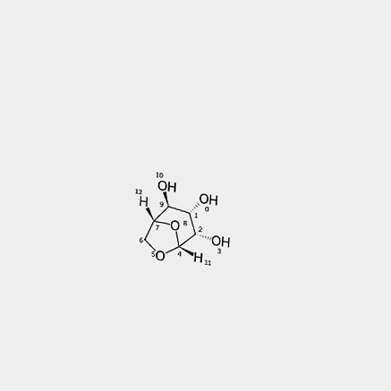 O[C@@H]1[C@H](O)[C@@H]2OC[C@@H](O2)[C@H]1O